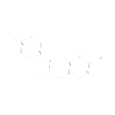 CN(Cc1ccc(N)cc1)Cc1ccc(F)cc1